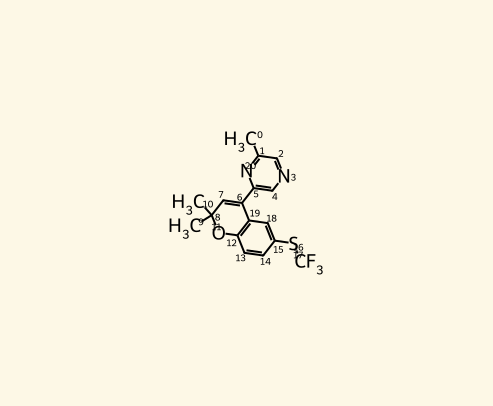 Cc1cncc(C2=CC(C)(C)Oc3ccc(SC(F)(F)F)cc32)n1